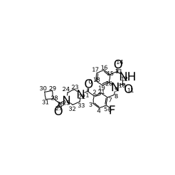 O=C(c1ccc(F)c(Cn2c(=O)[nH]c(=O)c3ccccc32)c1)N1CCN(C(=O)C2CCC2)CC1